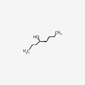 CC[CH]CC(O)CCC